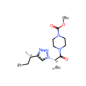 CC[C@H](C)[C@@H](C(=O)N1CCN(C(=O)OC(C)(C)C)CC1)n1cc([C@@H](C)CC(C)C)nn1